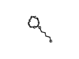 ClCCCCCl.c1ccccsccc1